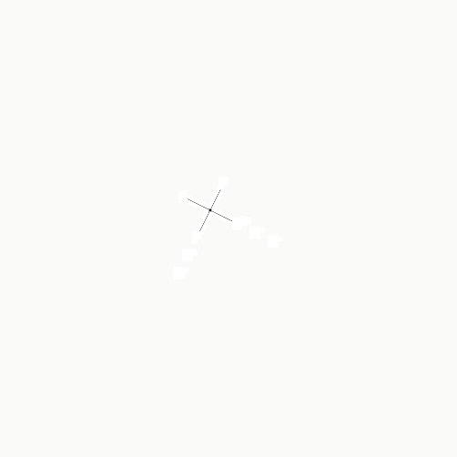 [B+2]C(F)(F)F.[H-].[H-].[H-].[K+]